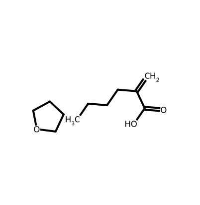 C1CCOC1.C=C(CCCC)C(=O)O